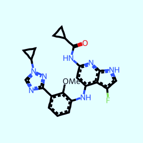 COc1c(Nc2cc(NC(=O)C3CC3)nc3[nH]cc(F)c23)cccc1-c1ncn(C2CC2)n1